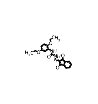 CCOc1ccc(OCC)c(NC(=O)NN=c2c(=O)c3ccccc3c2=O)c1